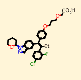 CCC(=C(c1ccc(OCCCOCC(=O)O)cc1)c1ccc2c(cnn2C2CCCCO2)c1)c1ccc(Cl)cc1F